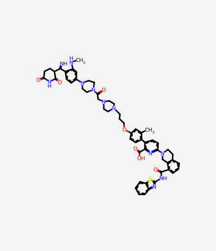 CNc1cc(N2CCN(C(=O)CN3CCN(CCCOc4ccc(-c5ccc(N6CCc7cccc(C(=O)Nc8nc9ccccc9s8)c7C6)nc5C(=O)O)c(C)c4)CC3)CC2)ccc1C(=N)C1CCC(=O)NC1=O